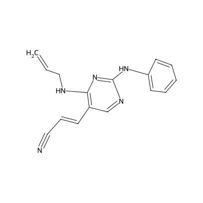 C=CCNc1nc(Nc2ccccc2)ncc1C=CC#N